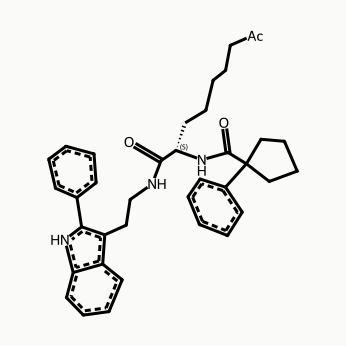 CC(=O)CCCCC[C@H](NC(=O)C1(c2ccccc2)CCCC1)C(=O)NCCc1c(-c2ccccc2)[nH]c2ccccc12